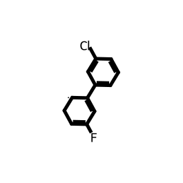 FC1=CC[CH]C(c2cccc(Cl)c2)=C1